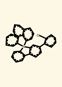 Clc1ccccc1-c1ccc2c(c1)S(c1ccccc1)(c1cccc3ccccc13)c1ccccc1-2